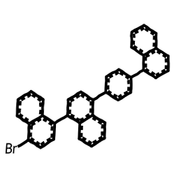 Brc1ccc(-c2ccc(-c3ccc(-c4cccc5ccccc45)cc3)c3ccccc23)c2ccccc12